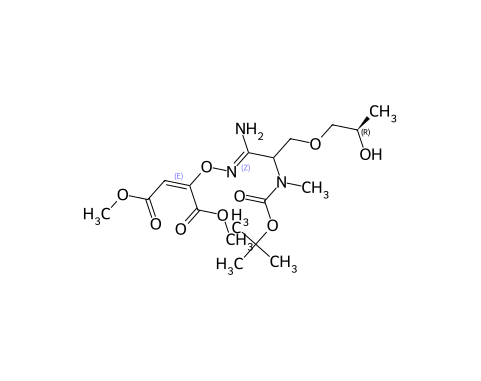 COC(=O)/C=C(/O/N=C(\N)C(COC[C@@H](C)O)N(C)C(=O)OC(C)(C)C)C(=O)OC